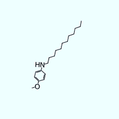 CCCCCCCCCCCCNc1ccc(OC)cc1